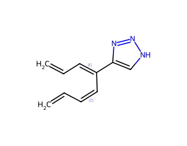 C=C/C=C\C(=C/C=C)c1c[nH]nn1